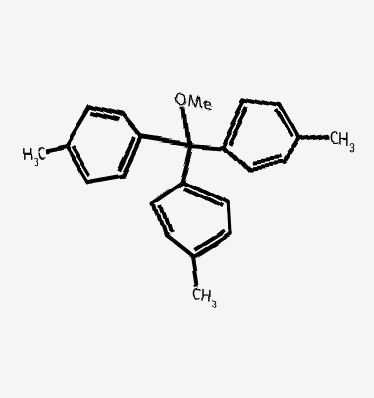 COC(c1ccc(C)cc1)(c1ccc(C)cc1)c1ccc(C)cc1